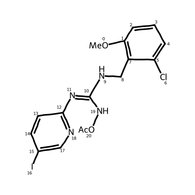 COc1cccc(Cl)c1CNC(=Nc1ccc(I)cn1)NOC(C)=O